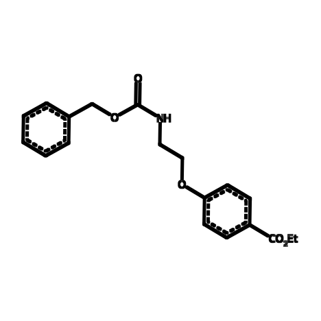 CCOC(=O)c1ccc(OCCNC(=O)OCc2ccccc2)cc1